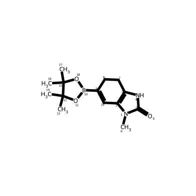 Cn1c2c([nH]c1=O)CCC(B1OC(C)(C)C(C)(C)O1)=C2